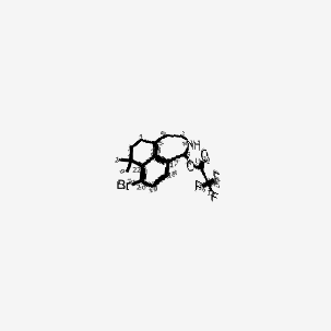 CC1(C)CCC2CCNC(OC(=O)C(F)(F)F)c3ccc(Br)c1c32